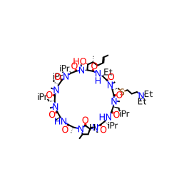 C/C=C/C[C@@H](C)[C@@H](O)[C@@H]1C(=O)N[C@H](CC)C(=O)N(C)[C@H](CSCCCN(CC)CC)C(=O)N(C)[C@@H](CC(C)C)C(=O)N[C@H](C(C)C)C(=O)N(C)[C@@H]2CC(C)N(C2=O)[C@H](C)C(=O)N[C@@H](C)C(=O)N(C)[C@H](CC(C)C)C(=O)N(C)[C@H](CC(C)C)C(=O)N(C)[C@H](C(C)C)C(=O)N1C